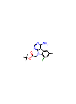 Cc1cc(F)c2c(c1)c1c(N)ncnc1n2CC(=O)OC(C)(C)C